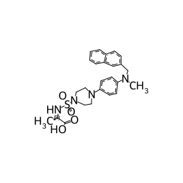 C[C@@H](NS(=O)(=O)N1CCN(c2ccc(N(C)Cc3ccc4ccccc4c3)cc2)CC1)C(=O)O